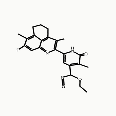 CCOC(N=O)c1cc(-c2nc3cc(F)c(C)c4c3c(c2C)CCC4)[nH]c(=O)c1C